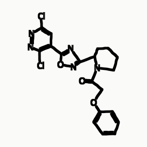 O=C(COc1ccccc1)N1CCCCC1c1noc(-c2cc(Cl)nnc2Cl)n1